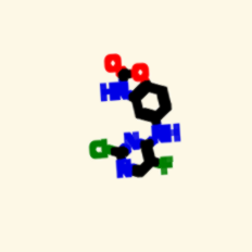 O=c1[nH]c2cc(Nc3nc(Cl)ncc3F)ccc2o1